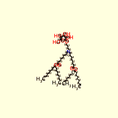 CCCCCCCCC(CCCCCCCC)OC(=O)CCCCCCCN(CCCCCCCC(=O)OC(CCCCCCCC)CCCCCCCC)CCCCO[C@H]1O[C@H](CO)[C@@H](O)[C@H](O)[C@@H]1O